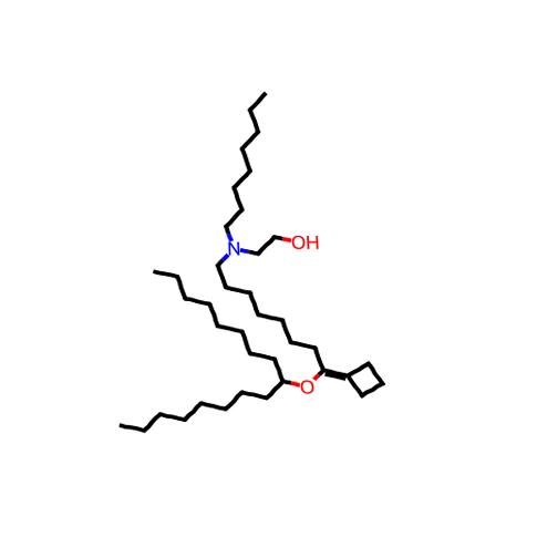 CCCCCCCCC(CCCCCCCC)OC(CCCCCCCN(CCO)CCCCCCCC)=C1CCC1